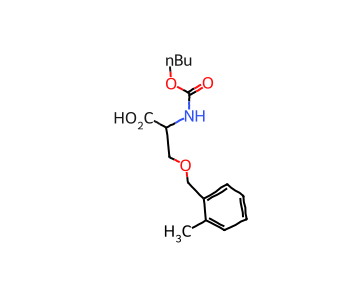 CCCCOC(=O)NC(COCc1ccccc1C)C(=O)O